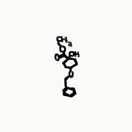 CCOC(=O)C1(O)CCC(OCc2ccccc2)CC1